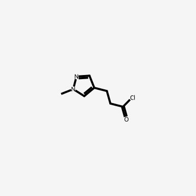 Cn1cc(CCC(=O)Cl)cn1